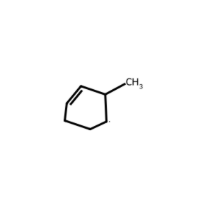 CC1[CH]CCC=C1